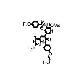 COc1ncc(-c2cc3c(C)nc(N)nc3n([C@H]3CC[C@H](OCCO)CC3)c2=O)cc1NS(=O)(=O)c1ccc(C(F)(F)F)cc1